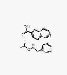 CC(C)ONCc1ccccc1.OC(=S)c1ccc2cnccc2n1